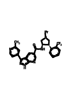 Cc1cc(-c2n[nH]c3ncc(C(=O)N[C@H]4CN(C(C)C)C[C@@H]4c4ccccc4C(F)(F)F)cc23)ccn1